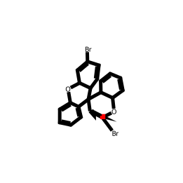 BrC1=CC2Oc3ccccc3C3(C4=CCCC(Br)=C4OC4C=CC=CC43)C2C=C1